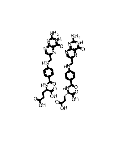 Nc1nc2ncc(CNc3ccc(C(=O)NC(CCC(=O)O)C(=O)O)cc3)nc2c(=O)[nH]1.Nc1nc2ncc(CNc3ccc(C(=O)N[C@@H](CCC(=O)O)C(=O)O)cc3)nc2c(=O)[nH]1